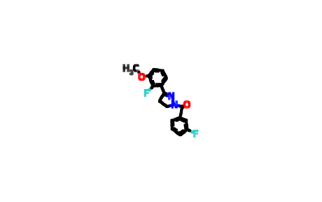 COc1cccc(C2=NN(C(=O)c3cccc(F)c3)CC2)c1F